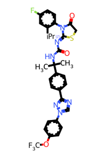 CC(C)c1cc(F)ccc1N1C(=O)CS/C1=N\C(=O)NC(C)(C)c1ccc(-c2ncn(-c3ccc(OC(F)(F)F)cc3)n2)cc1